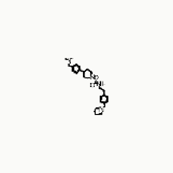 CN(C)Cc1ccc(C2CCN(OC(=O)NCCc3ccc(CN4CCCC4)cc3)CC2)cc1